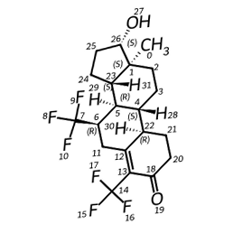 C[C@]12CC[C@H]3[C@@H]([C@H](C(F)(F)F)CC4=C(C(F)(F)F)C(=O)CC[C@@H]43)[C@@H]1CC[C@@H]2O